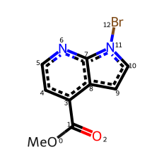 COC(=O)c1ccnc2c1ccn2Br